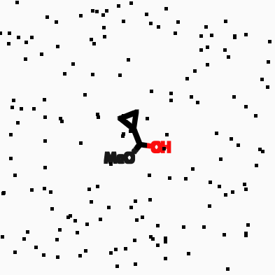 COC(O)C1CC1